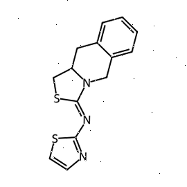 c1ccc2c(c1)CC1CSC(=Nc3nccs3)N1C2